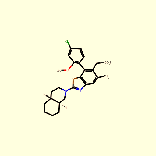 Cc1cc2nc(N3CC[C@H]4CCCC[C@@H]4C3)sc2c(-c2ccc(Cl)cc2OC(C)(C)C)c1CC(=O)O